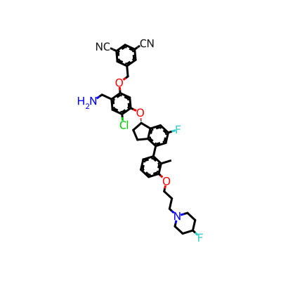 Cc1c(OCCCN2CCC(F)CC2)cccc1-c1cc(F)cc2c1CC[C@@H]2Oc1cc(OCc2cc(C#N)cc(C#N)c2)c(CN)cc1Cl